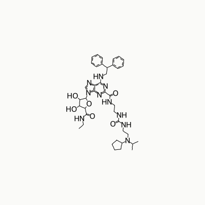 CCNC(=O)C1OC(n2cnc3c(NCC(c4ccccc4)c4ccccc4)nc(C(=O)NCCNC(=O)NCCN(C(C)C)C4CCCC4)nc32)C(O)C1O